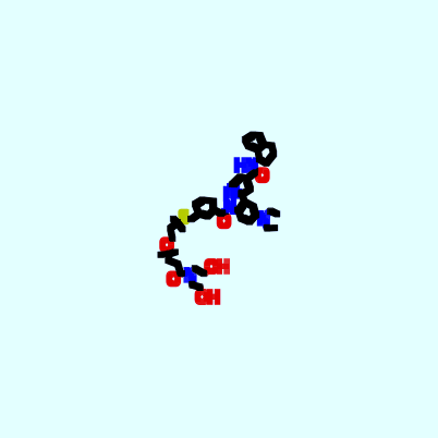 CCN(CC)c1ccc(NC(=O)c2cccc(CSC(C)(C)CCOC(C)(C)CCC(=O)N(CCO)CCO)c2)c(-c2cc(C(=O)N[C@H]3CCCc4ccccc43)ccn2)c1